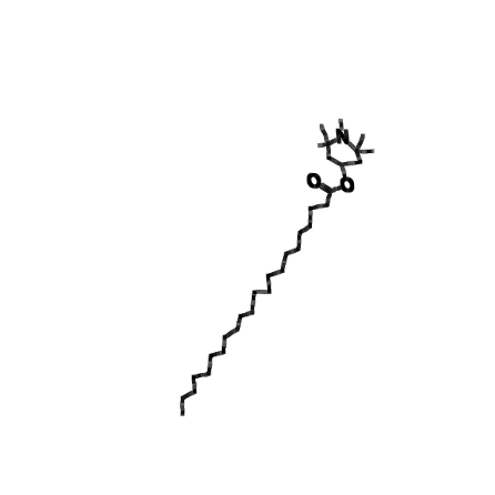 CCCCCCCCCCCCCCCCCCCCCC(=O)OC1CC(C)(C)N(C)C(C)(C)C1